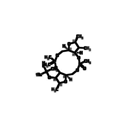 C=P1(C)OC[C@H]2O[C@@H](C)C(C)[C@H]2OP(C)(=O)OC[C@H]2O[C@@H](C)[C@@H](O[Si](C)(C)C(C)(C)C)C2O1